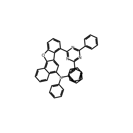 c1ccc(-c2nc(-c3ccccc3)nc(-c3cccc4oc5c6ccccc6c(N(c6ccccc6)c6ccccc6)cc5c34)n2)cc1